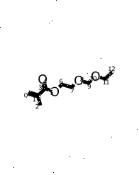 C=C(C)C(=O)OCCOCOCC